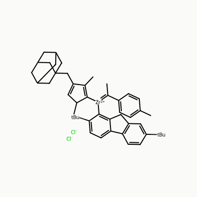 CC1=[C](/[Zr+2](=[C](\C)c2ccc(C)cc2)[c]2c(C(C)(C)C)ccc3c2Cc2cc(C(C)(C)C)ccc2-3)C(C)C=C1CC12CC3CC(CC(C3)C1)C2.[Cl-].[Cl-]